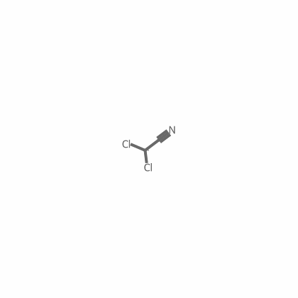 N#C[C](Cl)Cl